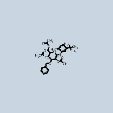 CC(=O)OCC1O[C@@H](Sc2cc(C(C)(C)C)ccc2C)C(OC(C)=O)C(OCc2ccccc2)[C@@H]1OC(C)=O